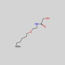 CNCCCCCOCCNC(=O)CO